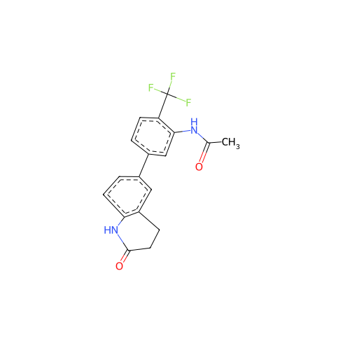 CC(=O)Nc1cc(-c2ccc3c(c2)CCC(=O)N3)ccc1C(F)(F)F